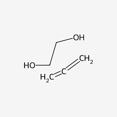 C=C=C.OCCO